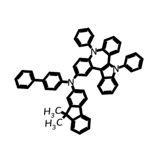 CC1(C)c2ccccc2-c2ccc(N(c3ccc(-c4ccccc4)cc3)c3ccc4c(c3)-c3c(n(-c5ccccc5)c5ccccc35)-c3ccccc3N4c3ccccc3)cc21